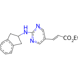 CCOC(=O)/C=C/c1cnc(NC2Cc3ccccc3C2)nc1